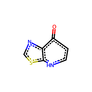 O=c1cc[nH]c2scnc12